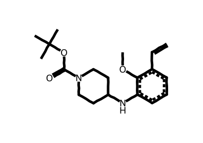 C=Cc1cccc(NC2CCN(C(=O)OC(C)(C)C)CC2)c1OC